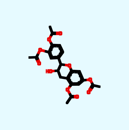 CC(=O)Oc1cc(OC(C)=O)c2c(c1)OC(c1ccc(OC(C)=O)c(OC(C)=O)c1)C(O)C2